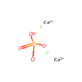 O=P([O-])([O-])O.[Ca+2].[Ca+2].[F-].[F-]